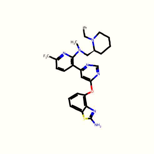 CC(C)CN1CCCC[C@H]1CN(C)c1nc(C(F)(F)F)ccc1-c1cc(Oc2cccc3sc(N)nc23)ncn1